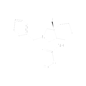 CC(C)(C)OC(=O)N[C@@]12CCCC[C@H]1CN(Cc1ccccc1)C2